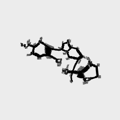 CC(O)(c1ccc2ncc(-c3nc(N)ncc3Cl)n2c1)c1ncco1